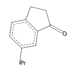 CC(C)c1ccc2c(c1)C(=O)CC2